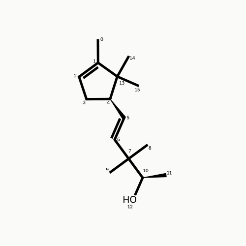 CC1=CC[C@H](/C=C/C(C)(C)[C@@H](C)O)C1(C)C